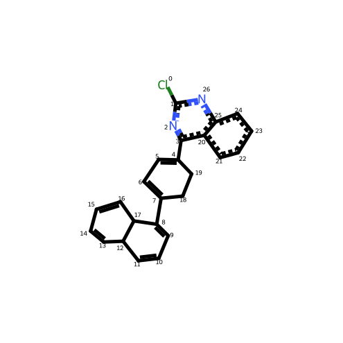 Clc1nc(C2=CC=C(C3=CC=CC4C=CC=CC34)CC2)c2ccccc2n1